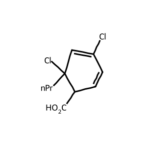 CCCC1(Cl)C=C(Cl)C=CC1C(=O)O